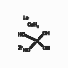 O[Si](O)(O)O.[GaH3].[La].[Zr]